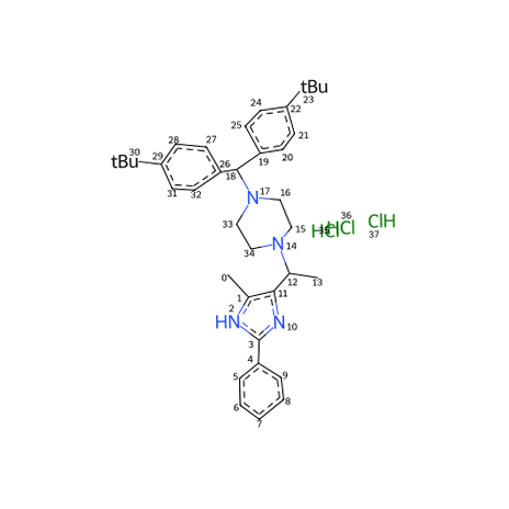 Cc1[nH]c(-c2ccccc2)nc1C(C)N1CCN(C(c2ccc(C(C)(C)C)cc2)c2ccc(C(C)(C)C)cc2)CC1.Cl.Cl.Cl